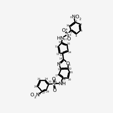 O=[N+]([O-])c1cccc(S(=O)(=O)Nc2ccc(-c3nc4cc(NS(=O)(=O)c5cccc([N+](=O)[O-])c5)ccc4o3)cc2)c1